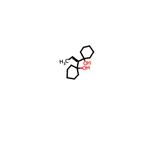 CC=C(C1(O)CCCCC1)C1(O)CCCCC1